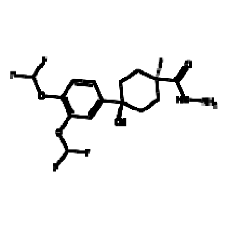 C[C@]1(C(=O)NN)CC[C@](C#N)(c2ccc(OC(F)F)c(OC(F)F)c2)CC1